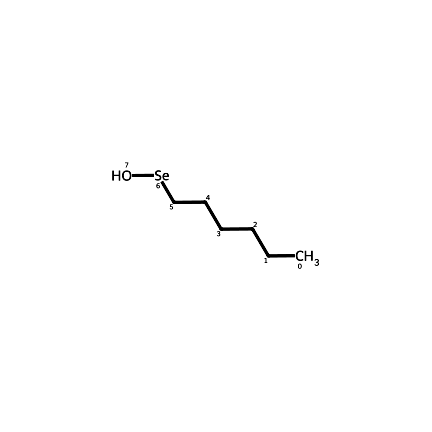 CCCCCC[Se]O